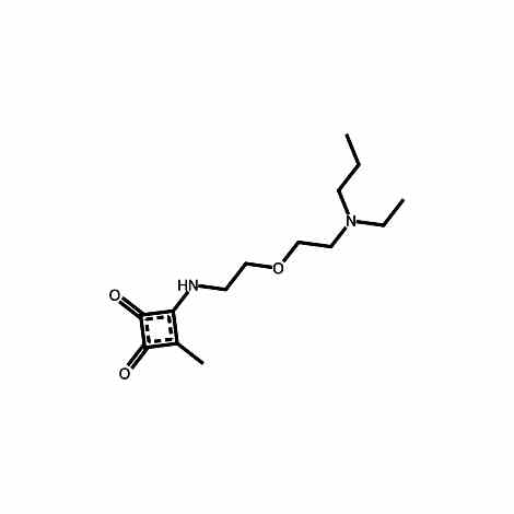 CCCN(CC)CCOCCNc1c(C)c(=O)c1=O